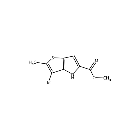 COC(=O)c1cc2sc(C)c(Br)c2[nH]1